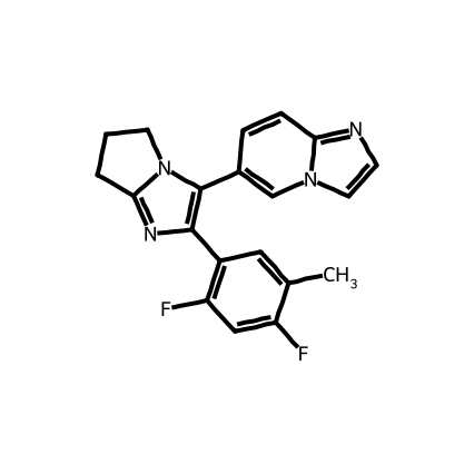 Cc1cc(-c2nc3n(c2-c2ccc4nccn4c2)CCC3)c(F)cc1F